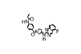 C=CC(=O)Nc1ccc(C(=O)N2CC[C@H](Nc3ncc4c(F)cccc4n3)C2)cc1